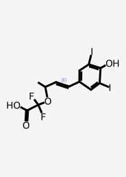 CC(/C=C/c1cc(I)c(O)c(I)c1)OC(F)(F)C(=O)O